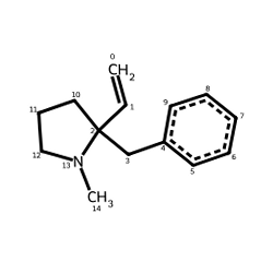 C=CC1(Cc2ccccc2)CCCN1C